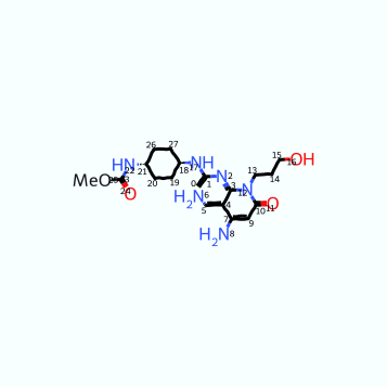 C=C(/N=C1\C(=C/N)C(N)=CC(=O)N1CCCO)N[C@H]1CC[C@H](NC(=O)OC)CC1